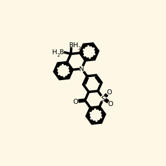 BC1(B)c2ccccc2N(C2=CC3C(=O)c4ccccc4S(=O)(=O)C3C=C2)c2ccccc21